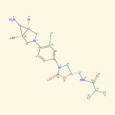 NC1[C@H]2CN(c3ccc(N4C[C@H](CNC(=O)C(Cl)Cl)OC4=O)cc3F)C[C@@H]12